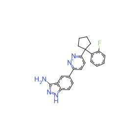 Nc1n[nH]c2ccc(-c3ccc(C4(c5ccccc5F)CCCC4)nn3)cc12